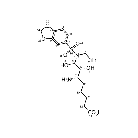 CC(C)CN(C(O)[C@H](O)[C@@H](N)CCCCC(=O)O)S(=O)(=O)c1ccc2c(c1)OCO2